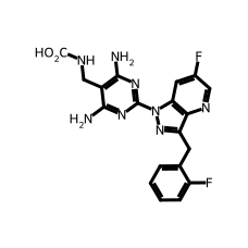 Nc1nc(-n2nc(Cc3ccccc3F)c3ncc(F)cc32)nc(N)c1CNC(=O)O